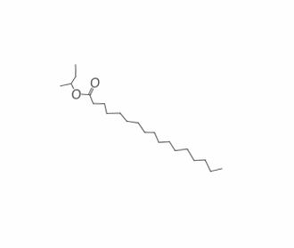 CCCCCCCCCCCCCCCCC(=O)OC(C)CC